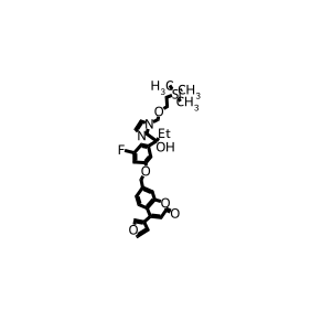 CCC(O)(c1cc(F)cc(OCc2ccc3c(-c4ccoc4)cc(=O)oc3c2)c1)c1nccn1COCC[Si](C)(C)C